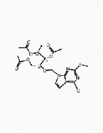 CSc1nc(Cl)c2ccn(CO[C@H](COC(C)=O)[C@@H](OC(C)=O)[C@H](C)OC(C)=O)c2n1